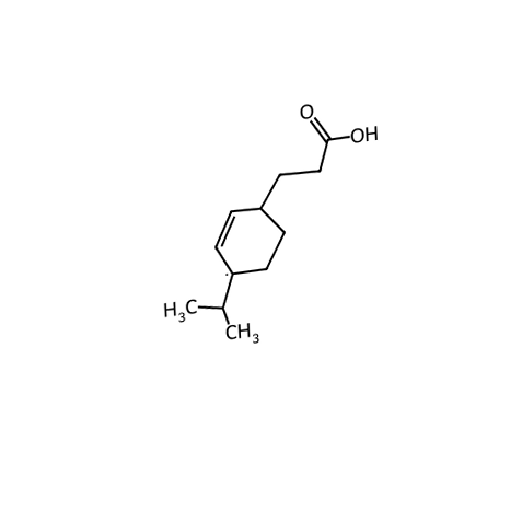 CC(C)[C]1C=CC(CCC(=O)O)CC1